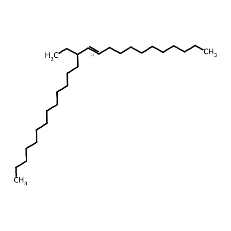 CCCCCCCCCC/C=C/C(CC)CCCCCCCCCCCCC